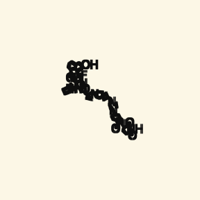 C#Cc1cccc2cc(O)cc(-c3ncc4c(N5CC6CCC(C5)N6)nc(OCC5(CN6CCC7(CC6)CC(CN6CCN(c8ccc9c(c8)CN([C@H]8CCC(=O)NC8=O)C9=O)CC6)C7)CC5)nc4c3F)c12